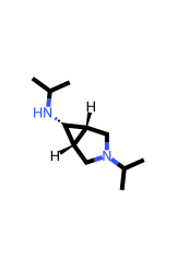 CC(C)N[C@@H]1[C@@H]2CN(C(C)C)C[C@@H]21